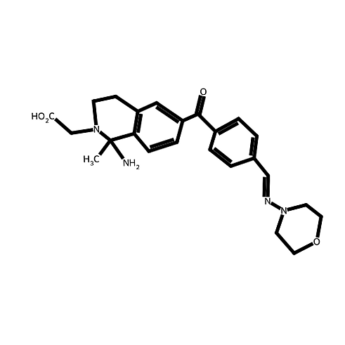 CC1(N)c2ccc(C(=O)c3ccc(C=NN4CCOCC4)cc3)cc2CCN1CC(=O)O